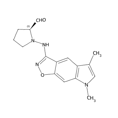 Cc1cn(C)c2cc3onc(NN4CCC[C@H]4C=O)c3cc12